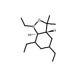 CCC1CC(CC)[C@@H]2[C@@H](C1)C(C)(C)ON2CC